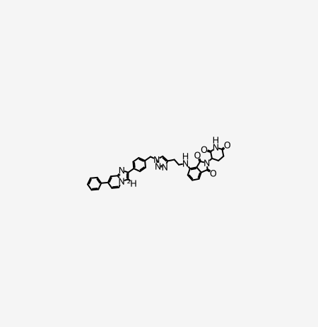 [2H]c1c(-c2ccc(Cn3cc(CCNc4cccc5c4C(=O)N(C4CCC(=O)NC4=O)C5=O)nn3)cc2)nc2cc(-c3ccccc3)ccn12